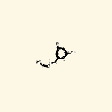 CC(C)/[C]=N\OCc1cc(F)cc(F)c1